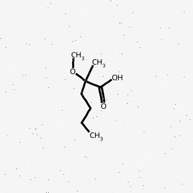 CCCCC(C)(OC)C(=O)O